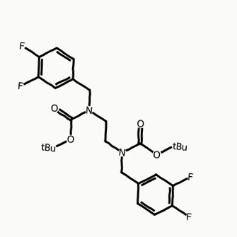 CC(C)(C)OC(=O)N(CCN(Cc1ccc(F)c(F)c1)C(=O)OC(C)(C)C)Cc1ccc(F)c(F)c1